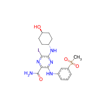 CS(=O)(=O)c1cccc(Nc2nc(N[C@H]3CC[C@H](O)CC3)c(I)nc2C(N)=O)c1